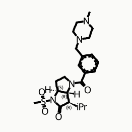 CC(C)[C@H]1C(=O)N(S(C)(=O)=O)[C@H]2CCN(C(=O)c3cccc(CN4CCN(C)CC4)c3)[C@H]12